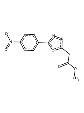 COC(=O)Cc1nnc(-c2ccc([N+](=O)[O-])cc2)o1